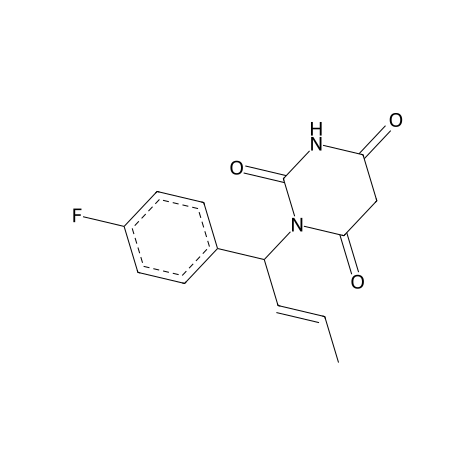 CC=CC(c1ccc(F)cc1)N1C(=O)CC(=O)NC1=O